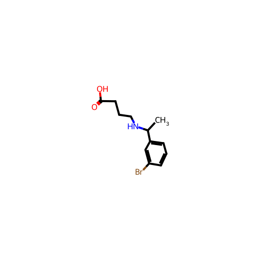 CC(NCCCC(=O)O)c1cccc(Br)c1